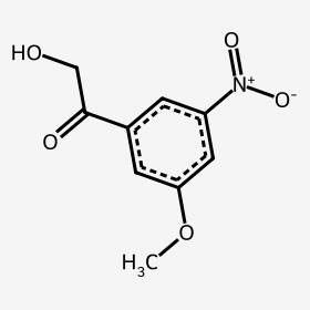 COc1cc(C(=O)CO)cc([N+](=O)[O-])c1